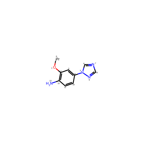 CC(C)Oc1cc(-n2cncn2)ccc1N